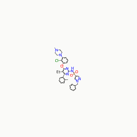 CCc1c(Oc2cccc(N3CCN(C)CC3)c2Cl)nc(NS(=O)(=O)c2cnn(Cc3ccccc3)c2)nc1-c1ccccc1C